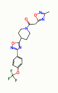 Cc1noc(CC(=O)N2CCC(c3nc(-c4ccc(OC(F)(F)F)cc4)no3)CC2)n1